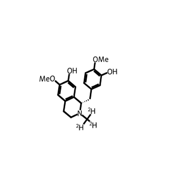 [2H]C([2H])([2H])N1CCc2cc(OC)c(O)cc2[C@@H]1Cc1ccc(OC)c(O)c1